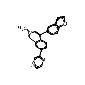 CN1Cc2cc(-c3cnccn3)ccc2C(c2ccc3occc3c2)C1